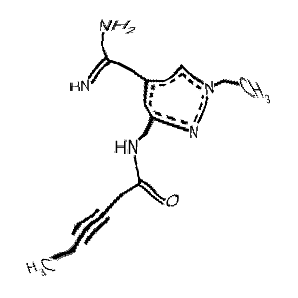 CC#CC(=O)Nc1nn(C)cc1C(=N)N